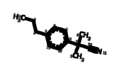 CCCc1ccc(C(C)(C)C#N)cc1